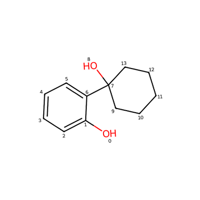 Oc1ccccc1C1(O)CCCCC1